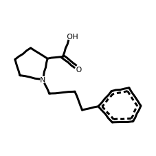 O=C(O)C1CCCN1CCCc1ccccc1